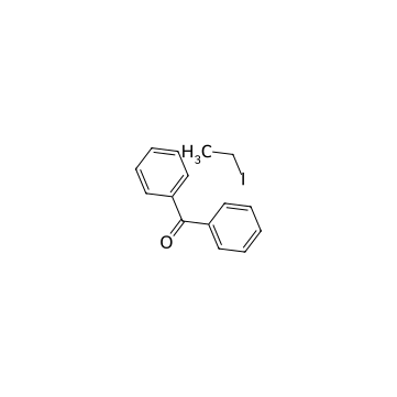 CCI.O=C(c1ccccc1)c1ccccc1